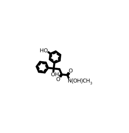 CN(O)C(=O)C(=O)CC(O)(c1ccccc1)c1cccc(O)c1